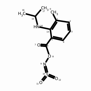 Cc1cccc(C(=O)ON=S(=O)=O)c1NC(C)C